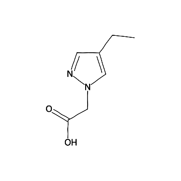 CCc1cnn(CC(=O)O)c1